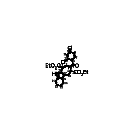 CCOC(=O)C1=CN(C(=O)c2ccc(Cl)cc2Cl)C(C(=O)OCC)Cc2c1[nH]c1ccccc21